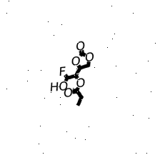 CCC(=O)OC(C(O)F)C1COC(=O)O1